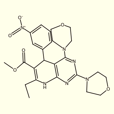 CCC1=C(C(=O)OC)C(c2cccc([N+](=O)[O-])c2)c2c(nc(N3CCOCC3)nc2N2CCOCC2)N1